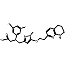 Cn1nc(C[C@@H](CC(=O)O)c2cc(F)cc(Cl)c2)cc1OCCc1ccc2c(n1)NCCC2